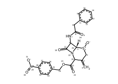 C=C1C[S+]([O-])[C@H]2C(NC(=O)Cc3ccccc3)C(=O)N2C1C(=O)OCc1ccc([N+](=O)[O-])cc1